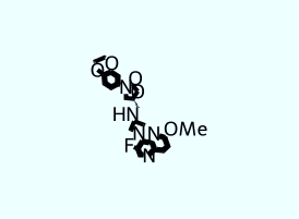 COc1ccc2ncc(F)c(N3CC(NC[C@@H]4CN(c5ccc6c(c5)OCCO6)C(=O)O4)C3)c2n1